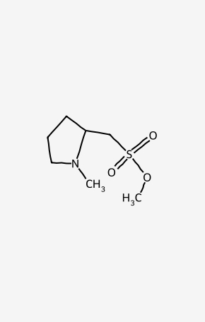 COS(=O)(=O)CC1CCCN1C